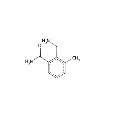 Cc1cccc(C(N)=O)c1CN